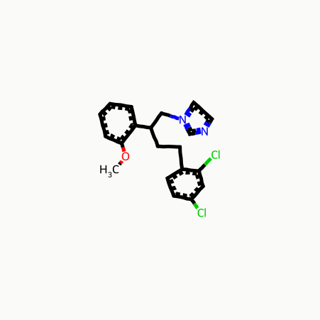 COc1ccccc1C(CCc1ccc(Cl)cc1Cl)Cn1ccnc1